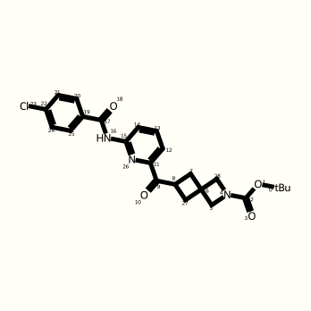 CC(C)(C)OC(=O)N1CC2(CC(C(=O)c3cccc(NC(=O)c4ccc(Cl)cc4)n3)C2)C1